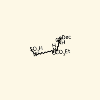 CCCCCCCCCCCC(=O)NCCCC[C@H](NC(=O)CCCCCCCCCC[N+](C)(C)CCCS(=O)(=O)O)C(=O)OCC